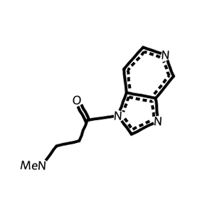 CNCCC(=O)n1cnc2cnccc21